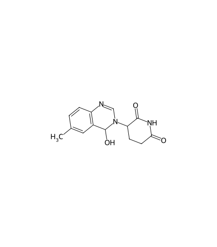 Cc1ccc2c(c1)C(O)N(C1CCC(=O)NC1=O)C=N2